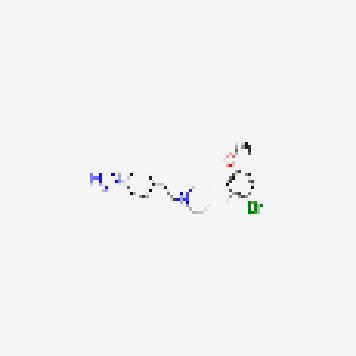 CC(C)Oc1ccc(Br)c(CC2CCN(CC[C@H]3CC[C@@H](N)CC3)CC2)c1